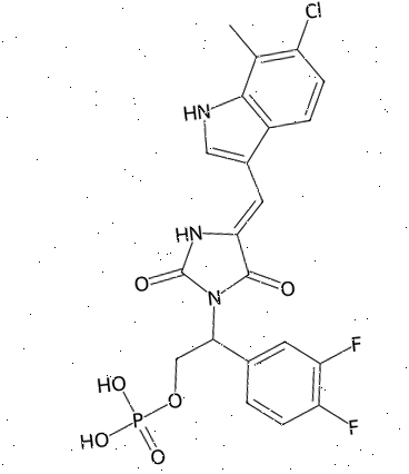 Cc1c(Cl)ccc2c(/C=C3\NC(=O)N(C(COP(=O)(O)O)c4ccc(F)c(F)c4)C3=O)c[nH]c12